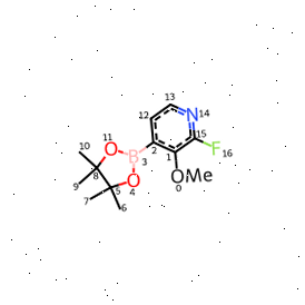 COc1c(B2OC(C)(C)C(C)(C)O2)ccnc1F